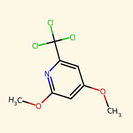 COc1cc(OC)nc(C(Cl)(Cl)Cl)c1